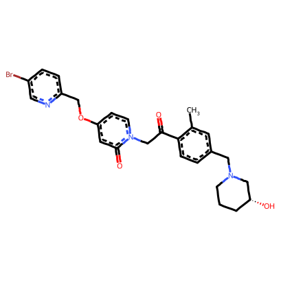 Cc1cc(CN2CCC[C@@H](O)C2)ccc1C(=O)Cn1ccc(OCc2ccc(Br)cn2)cc1=O